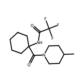 CC1CCN(C(=O)C2(NC(=O)C(F)(F)F)CCCCC2)CC1